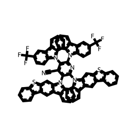 N#Cc1c(-n2c3ccccc3c3cc(C(F)(F)F)ccc32)c(-n2c3ccccc3c3cc(C(F)(F)F)ccc32)nc(-n2c3ccccc3c3cc4c(cc32)sc2ccccc24)c1-n1c2ccccc2c2cc3c(cc21)sc1ccccc13